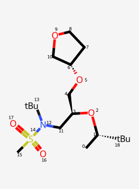 C[C@H](O[C@H](CO[C@H]1CCOC1)CN(C(C)(C)C)S(C)(=O)=O)C(C)(C)C